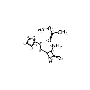 COC(C)=O.NC1C(=O)NC1CCc1ccco1